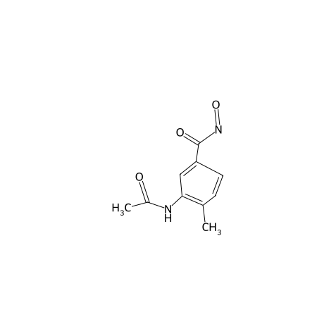 CC(=O)Nc1cc(C(=O)N=O)ccc1C